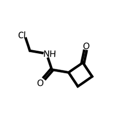 O=C1CCC1C(=O)NCCl